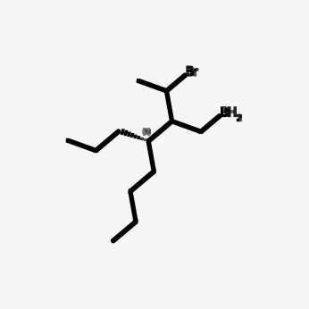 BCC(C(C)Br)[C@@H](CCC)CCCC